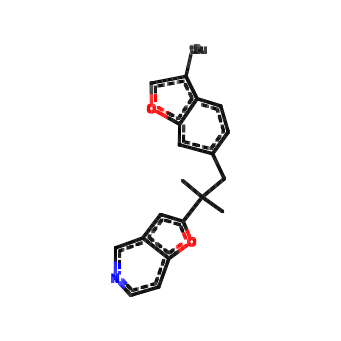 CC(C)(C)c1coc2cc(CC(C)(C)c3cc4cnccc4o3)ccc12